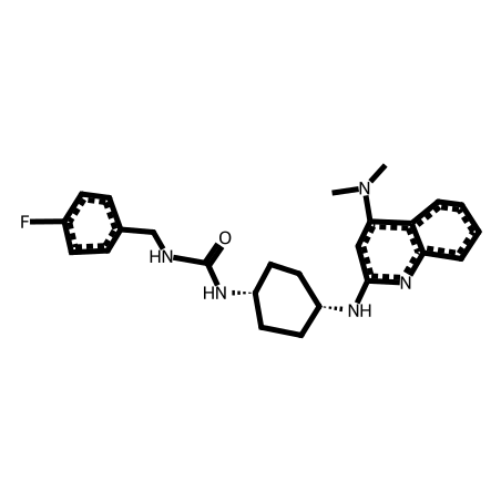 CN(C)c1cc(N[C@H]2CC[C@@H](NC(=O)NCc3ccc(F)cc3)CC2)nc2ccccc12